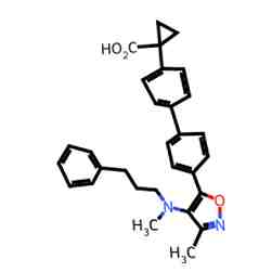 Cc1noc(-c2ccc(-c3ccc(C4(C(=O)O)CC4)cc3)cc2)c1N(C)CCCc1ccccc1